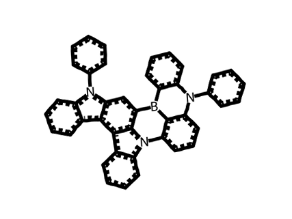 c1ccc(N2c3ccccc3B3c4c2cccc4-n2c4ccccc4c4c5c6ccccc6n(-c6ccccc6)c5cc3c42)cc1